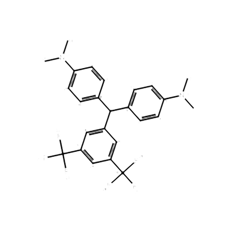 CN(C)c1ccc(C(c2ccc(N(C)C)cc2)c2cc(C(F)(F)F)cc(C(F)(F)F)c2)cc1